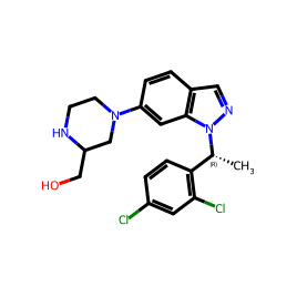 C[C@H](c1ccc(Cl)cc1Cl)n1ncc2ccc(N3CCNC(CO)C3)cc21